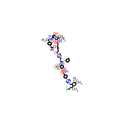 C=C(CCC(F)F)C1=C(CN2CCN(c3ccc(C(=O)NS(=O)(=O)c4ccc(N[C@H](CCN5CCN(C(=O)CCCCCC(=O)NC(C(=O)N6C[C@H](O)C[C@H]6C(=O)N[C@@H](C)c6ccc(-c7scnc7C)cc6)C(C)(C)C)CC5)CSc5ccccc5)c(S(=O)(=O)C(F)(F)F)c4)cc3)CC2)CC(C)(C)CC1